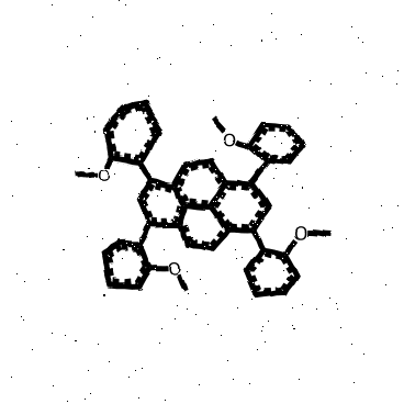 COc1ccccc1-c1cc(-c2ccccc2OC)c2ccc3c(-c4ccccc4OC)cc(-c4ccccc4OC)c4ccc1c2c43